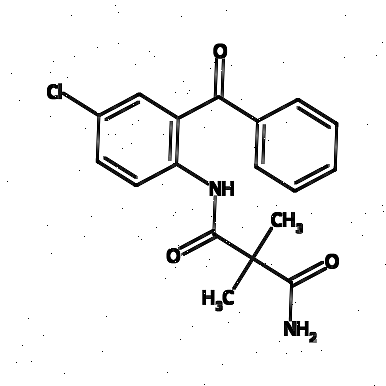 CC(C)(C(N)=O)C(=O)Nc1ccc(Cl)cc1C(=O)c1ccccc1